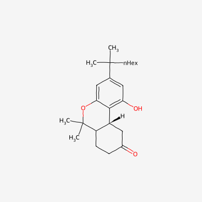 CCCCCCC(C)(C)c1cc(O)c2c(c1)OC(C)(C)C1CCC(=O)C[C@@H]21